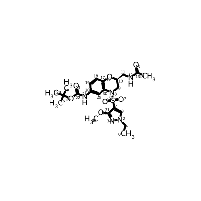 CCn1cc(S(=O)(=O)N2C[C@H](CNC(C)=O)Oc3ccc(NC(=O)OC(C)(C)C)cc32)c(OC)n1